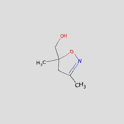 CC1=NOC(C)(CO)C1